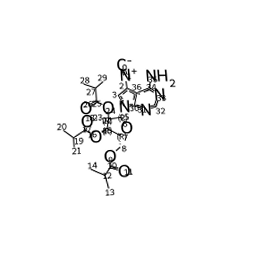 [C-]#[N+]c1cn([C@@H]2O[C@H](COC(=O)C(C)C)[C@@H](OC(=O)C(C)C)[C@@]2(C)OC(=O)C(C)C)c2ncnc(N)c12